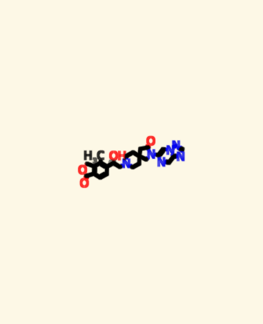 Cc1c([C@@H](O)CN2CCC3(CC2)CC(=O)N(c2cn4ncnc4cn2)C3)ccc2c1COC2=O